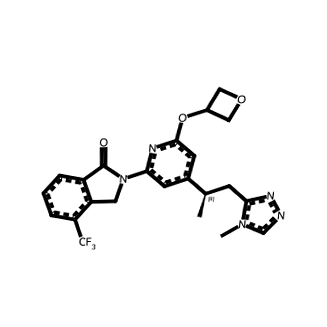 C[C@H](Cc1nncn1C)c1cc(OC2COC2)nc(N2Cc3c(cccc3C(F)(F)F)C2=O)c1